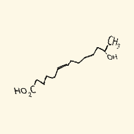 CC(O)CCCCCC=CCCCCC(=O)O